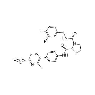 Cc1ccc(CNC(=O)N2CCC[C@@H]2C(=O)Nc2ccc(-c3ccc(C(=O)O)nc3C)cc2)cc1F